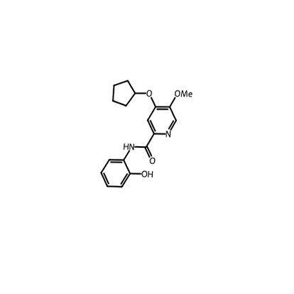 COc1cnc(C(=O)Nc2ccccc2O)cc1OC1CCCC1